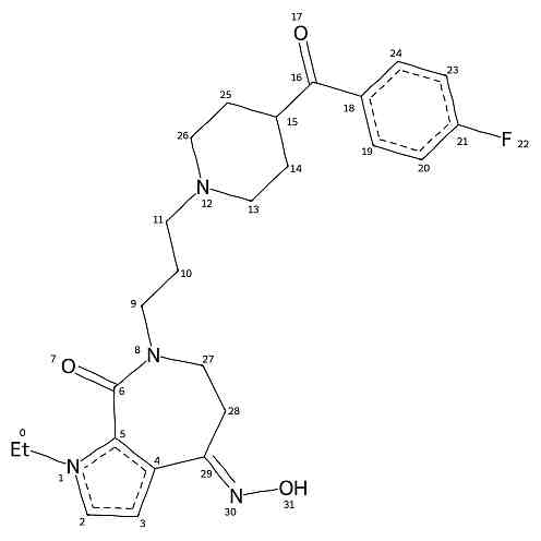 CCn1ccc2c1C(=O)N(CCCN1CCC(C(=O)c3ccc(F)cc3)CC1)CCC2=NO